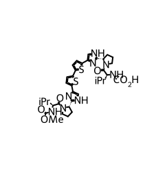 COC(=O)N[C@H](C(=O)N1CCC[C@H]1c1nc(-c2ccc(-c3ccc(-c4c[nH]c([C@@H]5CCCN5C(=O)[C@@H](NC(=O)O)C(C)C)n4)s3)s2)c[nH]1)C(C)C